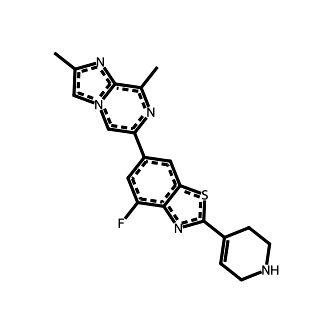 Cc1cn2cc(-c3cc(F)c4nc(C5=CCNCC5)sc4c3)nc(C)c2n1